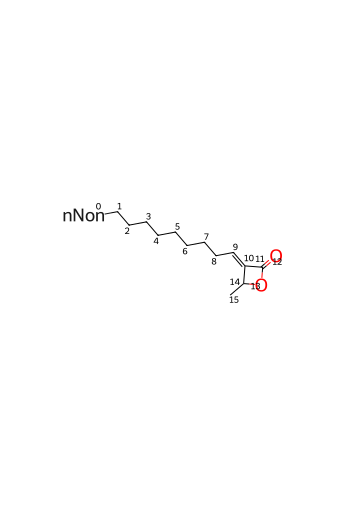 CCCCCCCCCCCCCCCCC/C=C1/C(=O)OC1C